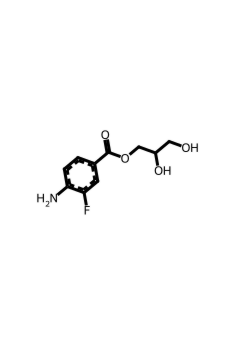 Nc1ccc(C(=O)OCC(O)CO)cc1F